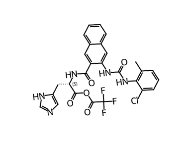 Cc1cccc(Cl)c1NC(=O)Nc1cc2ccccc2cc1C(=O)N[C@@H](Cc1cnc[nH]1)C(=O)OC(=O)C(F)(F)F